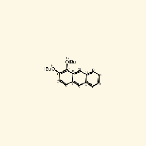 CC(C)COc1ccc2cc3ccccc3cc2c1OCC(C)C